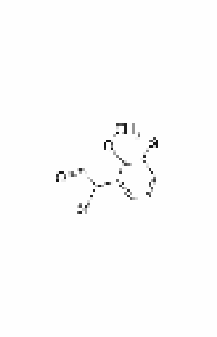 COc1c(Br)cccc1C(Br)C=O